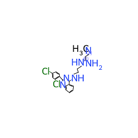 C/N=C\C=C(/N)NCCCCNc1nc(-c2ccc(Cl)cc2Cl)nc2ccccc12